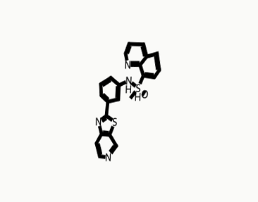 C[SH](=O)(Nc1cccc(-c2nc3ccncc3s2)c1)c1cccc2cccnc12